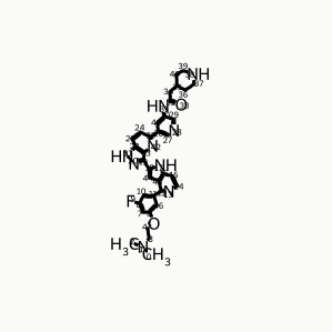 CN(C)CCOc1cc(F)cc(-c2nccc3[nH]c(-c4n[nH]c5ccc(-c6cncc(NC(=O)CC7CCNCC7)c6)nc45)cc23)c1